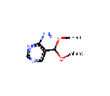 CCCCCOC(OCCCCC)c1cncnc1N